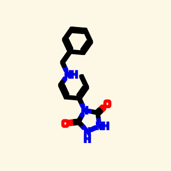 C/C=C(\C=C/NCc1ccccc1)n1c(=O)[nH][nH]c1=O